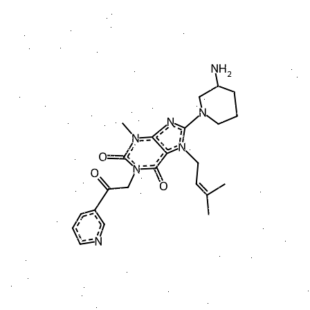 CC(C)=CCn1c(N2CCCC(N)C2)nc2c1c(=O)n(CC(=O)c1cccnc1)c(=O)n2C